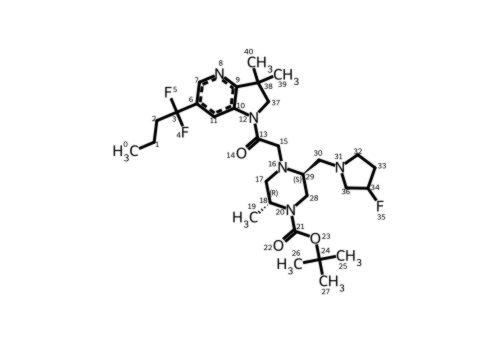 CCCC(F)(F)c1cnc2c(c1)N(C(=O)CN1C[C@@H](C)N(C(=O)OC(C)(C)C)C[C@@H]1CN1CCC(F)C1)CC2(C)C